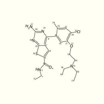 CCNC(=O)c1cc2c(-c3cc(OCCN(CC)CC)c(Cl)cc3C)nc(N)nc2s1